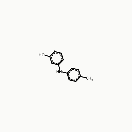 Cc1ccc(Nc2cc[c]c(O)c2)cc1